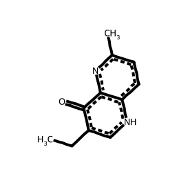 CCc1c[nH]c2ccc(C)nc2c1=O